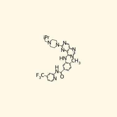 Cc1ccc(C(=O)Nc2cc(C(F)(F)F)ccn2)cc1Nc1ncnc2cnc(N3CCN(CC(C)C)CC3)nc12